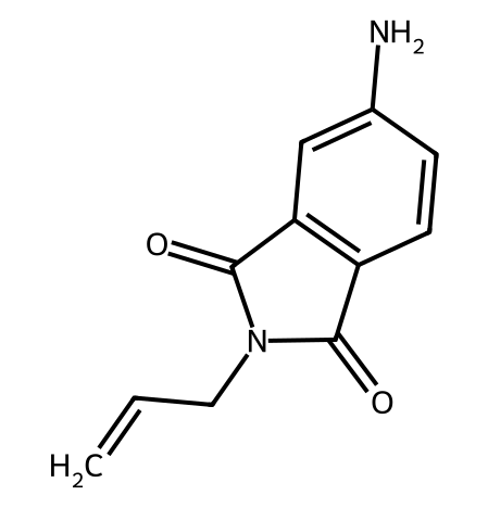 C=CCN1C(=O)c2ccc(N)cc2C1=O